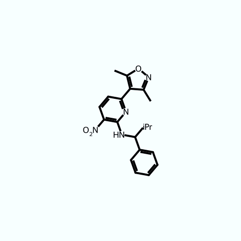 Cc1noc(C)c1-c1ccc([N+](=O)[O-])c(NC(c2ccccc2)C(C)C)n1